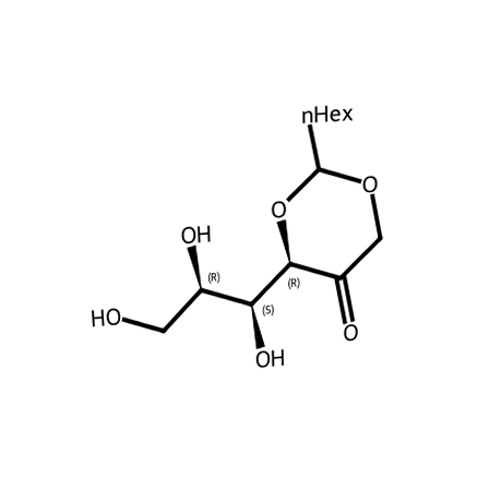 CCCCCCC1OCC(=O)[C@@H]([C@@H](O)[C@H](O)CO)O1